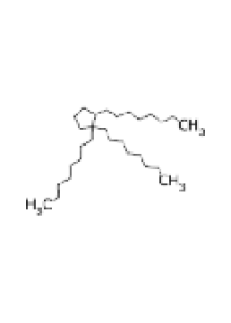 CCCCCCCCC1CCCC1(CCCCCCCC)CCCCCCCC